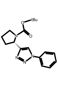 CC(C)(C)OC(=O)N1CCC[C@H]1c1cn(-c2ccccc2)nn1